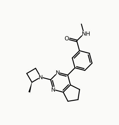 CNC(=O)c1cccc(-c2nc(N3CC[C@@H]3C)nc3c2CCC3)c1